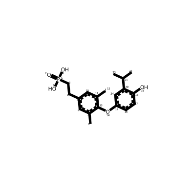 Cc1cc(CCP(=O)(O)O)cc(I)c1Oc1ccc(O)c(C(C)C)c1